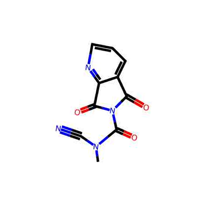 CN(C#N)C(=O)N1C(=O)c2cccnc2C1=O